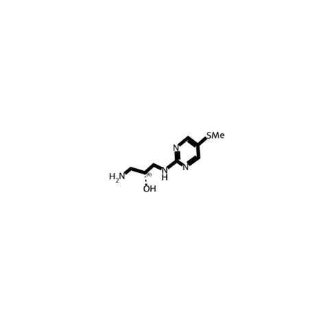 CSc1cnc(NC[C@H](O)CN)nc1